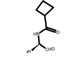 CC(C)[C@H](C=O)NC(=O)C1CCC1